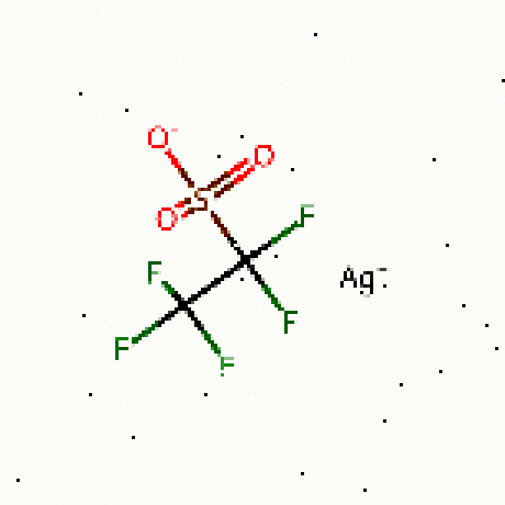 O=S(=O)([O-])C(F)(F)C(F)(F)F.[Ag+]